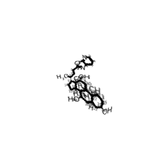 CC(CCc1nc2cccnc2o1)[C@H]1CC[C@H]2[C@@H]3[C@H](O)C[C@@H]4C[C@H](O)CC[C@]4(C)[C@H]3C[C@H](O)[C@]12C